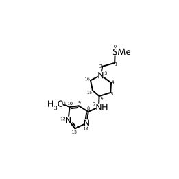 CSCCN1CCC(Nc2cc(C)ncn2)CC1